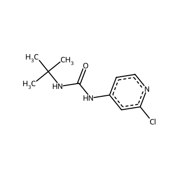 CC(C)(C)NC(=O)Nc1ccnc(Cl)c1